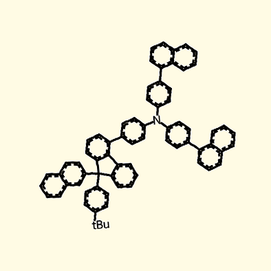 CC(C)(C)c1ccc(C2(c3ccc4ccccc4c3)c3ccccc3-c3c(-c4ccc(N(c5ccc(-c6cccc7ccccc67)cc5)c5ccc(-c6cccc7ccccc67)cc5)cc4)cccc32)cc1